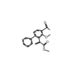 C=C(C(=O)OC)c1c(-c2ccccc2)ccc(C(C)=O)c1OC